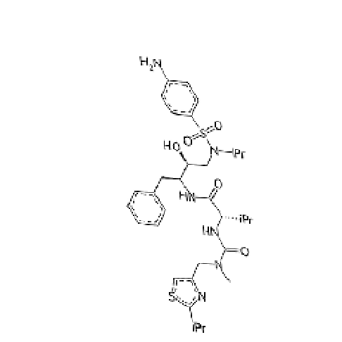 CC(C)c1nc(CN(C)C(=O)N[C@H](C(=O)N[C@@H](Cc2ccccc2)[C@@H](O)CN(C(C)C)S(=O)(=O)c2ccc(N)cc2)C(C)C)cs1